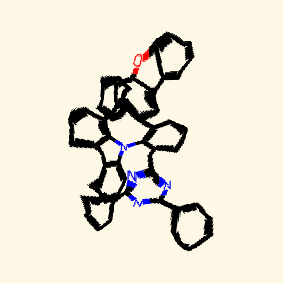 c1ccc(-c2nc(-c3ccccc3)nc(-c3cccc(-c4ccccc4)c3-n3c4ccccc4c4cccc(-c5ccc6c(c5)oc5ccccc56)c43)n2)cc1